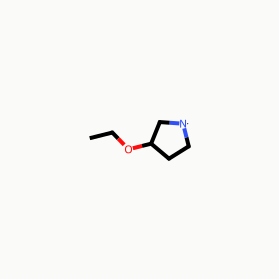 CCOC1CC[N]C1